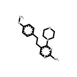 COc1ccc(CCc2cnc(N)nc2N2CCOCC2)cc1